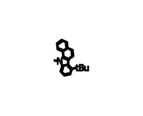 Cn1c2cccc(C(C)(C)C)c2c2ccc3ccccc3c21